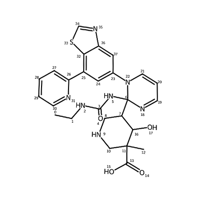 CCNC(=O)NC1(C2CNCC(C)(C(=O)O)C2O)N=CC=CN1c1cc(-c2ccccn2)c2scnc2c1